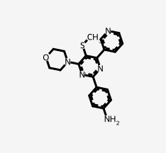 CSc1c(-c2cccnc2)nc(-c2ccc(N)cc2)nc1N1CCOCC1